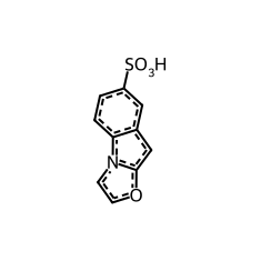 O=S(=O)(O)c1ccc2c(c1)cc1occn12